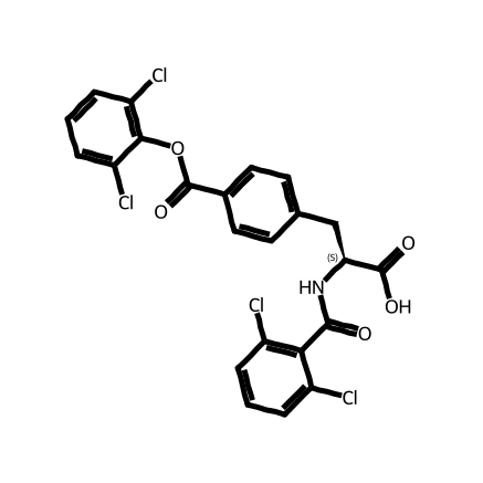 O=C(Oc1c(Cl)cccc1Cl)c1ccc(C[C@H](NC(=O)c2c(Cl)cccc2Cl)C(=O)O)cc1